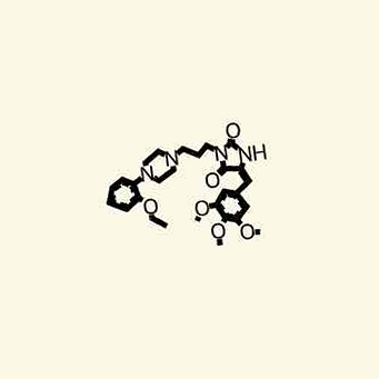 CCOc1ccccc1N1CCN(CCCN2C(=O)N/C(=C/c3cc(OC)c(OC)c(OC)c3)C2=O)CC1